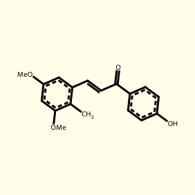 COc1cc(C=CC(=O)c2ccc(O)cc2)c(C)c(OC)c1